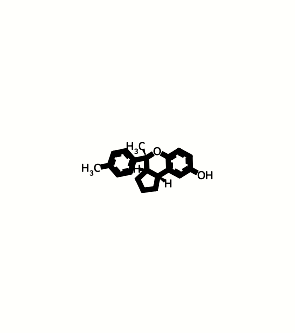 Cc1ccc([C@@]2(C)Oc3ccc(O)cc3[C@@H]3CCC[C@@H]32)cc1